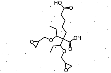 CCC(OCC1CO1)C(CCCCC(=O)O)(C(=O)O)C(CC)OCC1CO1